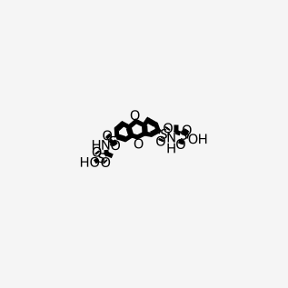 CC(NS(=O)(=O)c1ccc2c(c1)C(=O)c1cc(S(=O)(=O)NC(C)S(=O)(=O)O)ccc1C2=O)S(=O)(=O)O